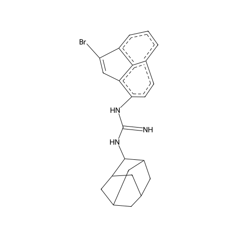 N=C(Nc1ccc2cccc3c2c1C=C3Br)NC1C2CC3CC(C2)CC1C3